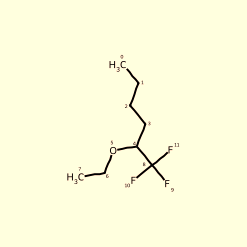 CCCCC(OCC)C(F)(F)F